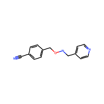 N#Cc1ccc(CO[N]Cc2ccncc2)cc1